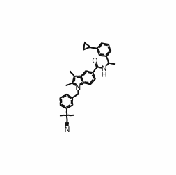 Cc1c(C)n(Cc2cccc(C(C)(C)C#N)c2)c2ccc(C(=O)NC(C)c3cccc(C4CC4)c3)cc12